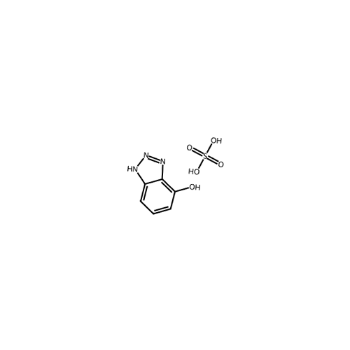 O=S(=O)(O)O.Oc1cccc2[nH]nnc12